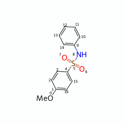 COc1ccc(S(=O)(=O)Nc2[c]cccc2)cc1